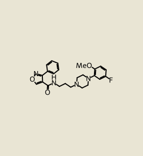 COc1ccc(F)cc1N1CCN(CCCNC(=O)c2conc2-c2ccccc2)CC1